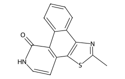 Cc1nc2c3ccccc3c3c(=O)[nH]ccc3c2s1